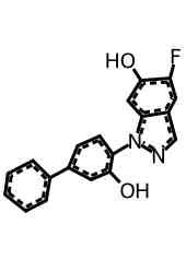 Oc1cc2c(cnn2-c2ccc(-c3ccccc3)cc2O)cc1F